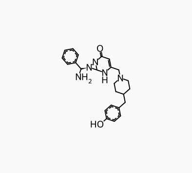 NC(c1ccccc1)[N@]1C2NC(CN3CCC(Cc4ccc(O)cc4)CC3)=CC(=O)N21